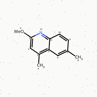 COc1cc(C)c2cc(C)ccc2n1